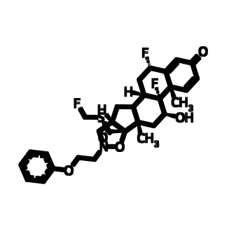 C[C@]12C=CC(=O)C=C1[C@@H](F)C[C@H]1C3C[C@H]4CN(CCOc5ccccc5)O[C@@]4(C(=O)SCF)[C@@]3(C)C[C@H](O)[C@@]12F